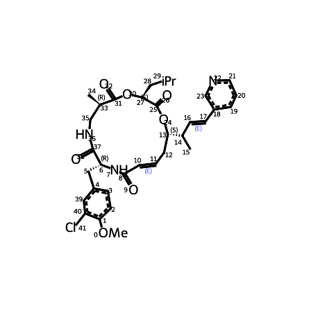 COc1ccc(C[C@H]2NC(=O)/C=C/C[C@@H](C(C)/C=C/c3cccnc3)OC(=O)[C@H](CC(C)C)OC(=O)[C@H](C)CNC2=O)cc1Cl